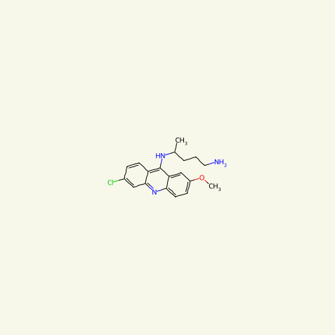 COc1ccc2nc3cc(Cl)ccc3c(NC(C)CCCN)c2c1